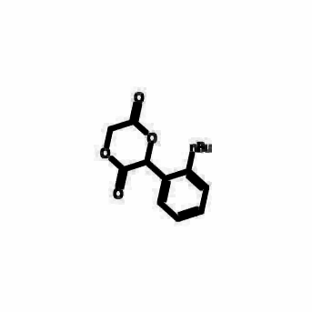 CCCCc1ccccc1C1OC(=O)COC1=O